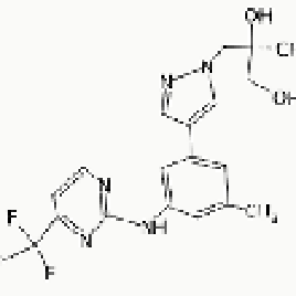 Cc1cc(Nc2nccc(C(F)(F)F)n2)cc(-c2cnn(C[C@@](C)(O)CO)c2)c1